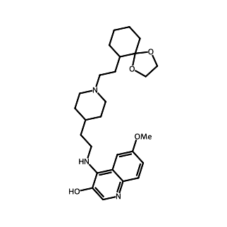 COc1ccc2ncc(O)c(NCCC3CCN(CCC4CCCCC45OCCO5)CC3)c2c1